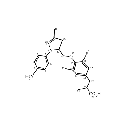 CC1=NN(c2ccc(N)cc2)C(COc2c(F)cc(CC(C)C(=O)O)cc2F)C1